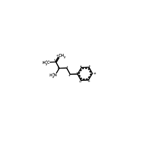 C=C(C)C(N)CCc1ccccc1